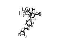 CC(C)(C)c1nc(C2CC2)cc(N2CCN(CCCCN)CC2)n1